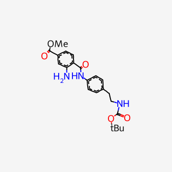 COC(=O)c1ccc(C(=O)Nc2ccc(CCNC(=O)OC(C)(C)C)cc2)c(N)c1